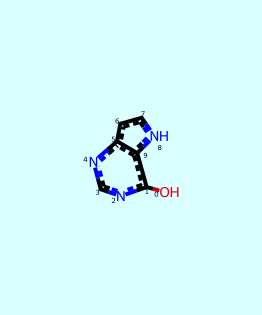 Oc1ncnc2cc[nH]c12